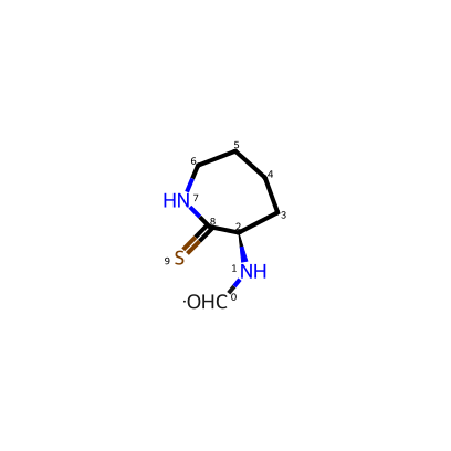 O=[C]N[C@@H]1CCCCNC1=S